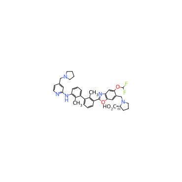 Cc1c(Nc2cc(CN3CCCC3)ccn2)cccc1-c1cccc(-c2nc3cc(OC(F)F)c(CN4CCC[C@H]4C(=O)O)cc3o2)c1C